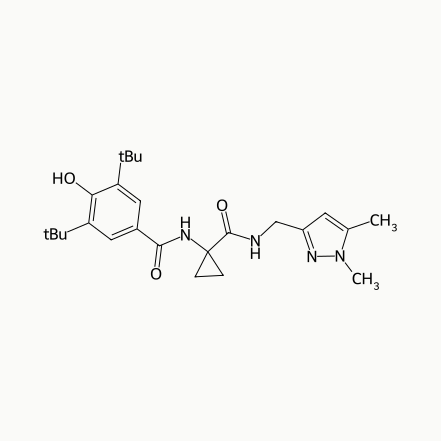 Cc1cc(CNC(=O)C2(NC(=O)c3cc(C(C)(C)C)c(O)c(C(C)(C)C)c3)CC2)nn1C